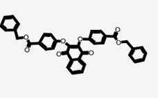 O=C(OCc1ccccc1)c1ccc(OC2=C(Oc3ccc(C(=O)OCc4ccccc4)cc3)C(=O)c3ccccc3C2=O)cc1